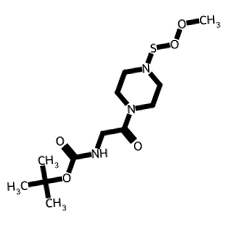 COOSN1CCN(C(=O)CNC(=O)OC(C)(C)C)CC1